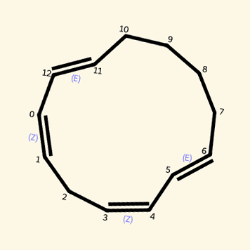 C1=C\C/C=C\C=C\CCCC/C=C/1